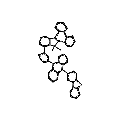 CC1(C)c2c(-c3cccc(-c4c5ccccc5c(-c5ccc6sc7ccccc7c6c5)c5ccccc45)c3)cccc2-c2c1c1ccccc1c1ccccc21